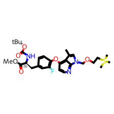 COC(=O)[C@H](Cc1ccc(Oc2ccnc3c2c(C)cn3COCCS(C)(C)C)c(F)c1)NC(=O)OC(C)(C)C